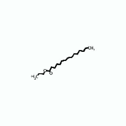 [CH2]CCOC(=O)CCCCCCCCCCCCCC